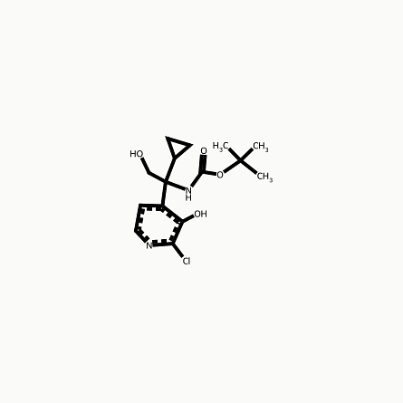 CC(C)(C)OC(=O)NC(CO)(c1ccnc(Cl)c1O)C1CC1